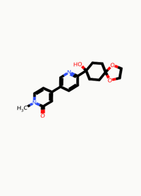 Cn1ccc(-c2ccc(C3(O)CCC4(CC3)OCCO4)nc2)cc1=O